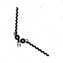 CCCCCCCCCCCCCCCCOc1ccc([SiH](C)c2ccc(OCCCCCCCCCCCCCCCC)cc2)cc1